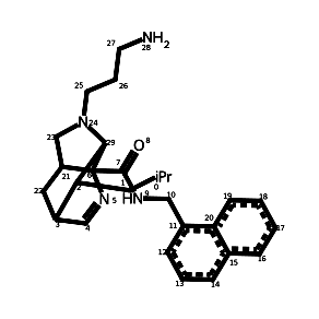 CC(C)CC1C2C=NC3(C(=O)NCc4cccc5ccccc45)C(C2)CN(CCCN)C13